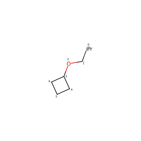 CC(C)[CH]OC1CCC1